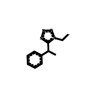 [CH2]Cn1nnnc1C(C)c1ccccc1